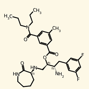 CCCN(CCC)C(=O)c1cc(C)cc(C(=O)O[C@H](CN[C@H]2CCCCNC2=O)[C@@H](N)Cc2cc(F)cc(F)c2)c1